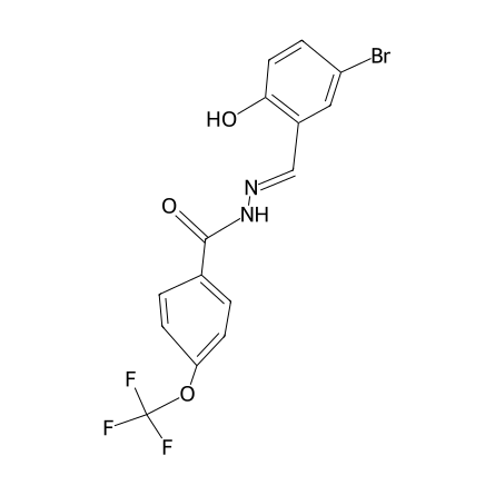 O=C(NN=Cc1cc(Br)ccc1O)c1ccc(OC(F)(F)F)cc1